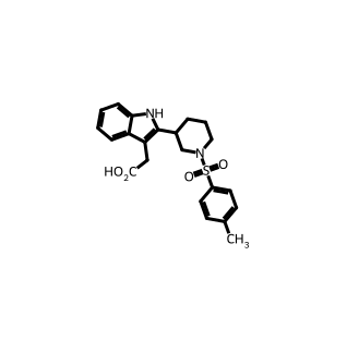 Cc1ccc(S(=O)(=O)N2CCCC(c3[nH]c4ccccc4c3CC(=O)O)C2)cc1